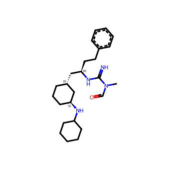 CN(C=O)C(=N)N[C@H](CCc1ccccc1)C[C@H]1CCC[C@H](NC2CCCCC2)C1